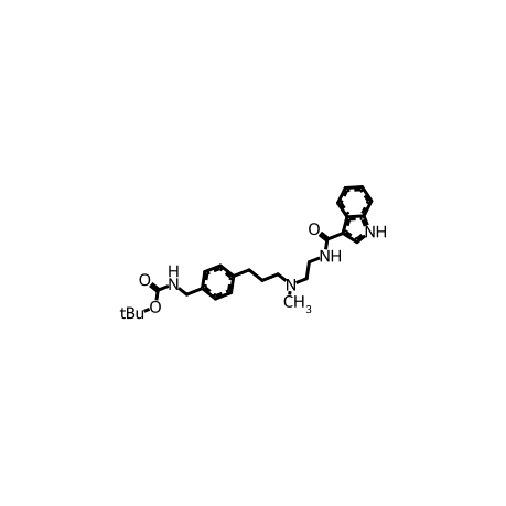 CN(CCCc1ccc(CNC(=O)OC(C)(C)C)cc1)CCNC(=O)c1c[nH]c2ccccc12